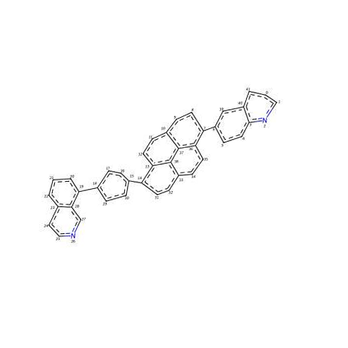 c1cnc2ccc(-c3ccc4ccc5c(-c6ccc(-c7cccc8ccncc78)cc6)ccc6ccc3c4c65)cc2c1